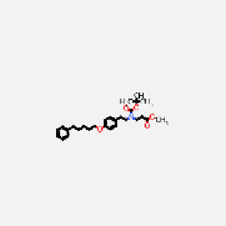 COC(=O)CCN(CCc1ccc(OCCCCCc2ccccc2)cc1)C(=O)OC(C)(C)C